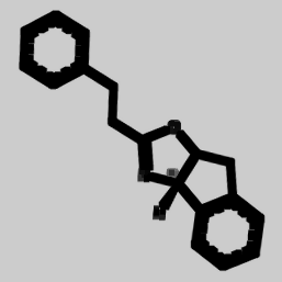 c1ccc(CCC2=N[C@H]3c4ccccc4CC3O2)cc1